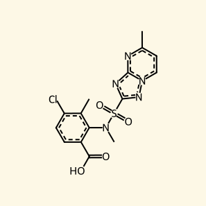 Cc1ccn2nc(S(=O)(=O)N(C)c3c(C(=O)O)ccc(Cl)c3C)nc2n1